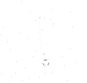 Cl.NCCCNCCCNCCCNCc1ccccc1